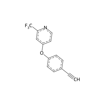 C#Cc1ccc(Oc2ccnc(C(F)(F)F)c2)cc1